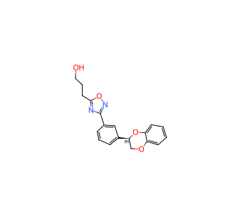 OCCCc1nc(-c2cccc([C@@H]3COc4ccccc4O3)c2)no1